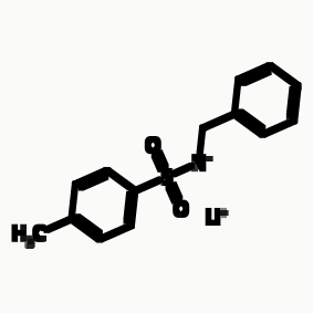 Cc1ccc(S(=O)(=O)[N-]Cc2ccccc2)cc1.[Li+]